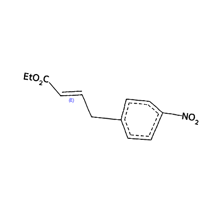 CCOC(=O)/C=C/Cc1ccc([N+](=O)[O-])cc1